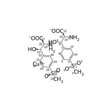 CS(=O)(=O)c1ccc(C(O)[C@H](N)C(=O)[O-])cc1.CS(=O)(=O)c1ccc(C(O)[C@H](N)C(=O)[O-])cc1.[Cu+2]